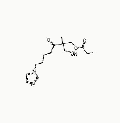 CCC(=O)OCC(C)(CO)C(=O)CCCCn1ccnc1